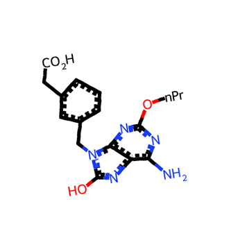 CCCOc1nc(N)c2nc(O)n(Cc3cccc(CC(=O)O)c3)c2n1